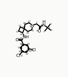 CC(C)(C)NC(=O)CN1CCC2(CC[C@@H]2NC(=O)c2cc(Cl)cc(Cl)c2)CC1